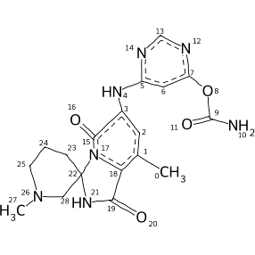 Cc1cc(Nc2cc(OC(N)=O)ncn2)c(=O)n2c1C(=O)NC21CCCN(C)C1